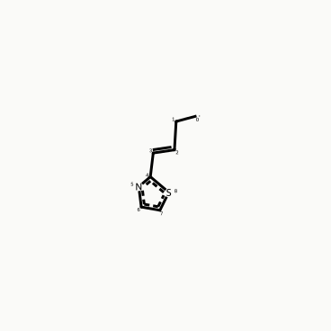 [CH2]CC=Cc1nccs1